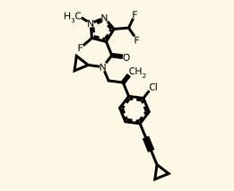 C=C(CN(C(=O)c1c(C(F)F)nn(C)c1F)C1CC1)c1ccc(C#CC2CC2)cc1Cl